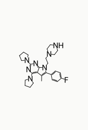 Cc1c(-c2ccc(F)cc2)n(CCN2CCNCC2)c2nc(N3CCCC3)nc(N3CCCC3)c12